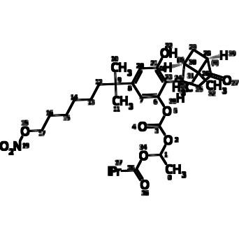 CC(OC(=O)Oc1cc(C(C)(C)CCCCCCO[N+](=O)[O-])cc(O)c1[C@@H]1CC(=O)[C@@H]2C[C@H]1C2(C)C)OC(=O)C(C)C